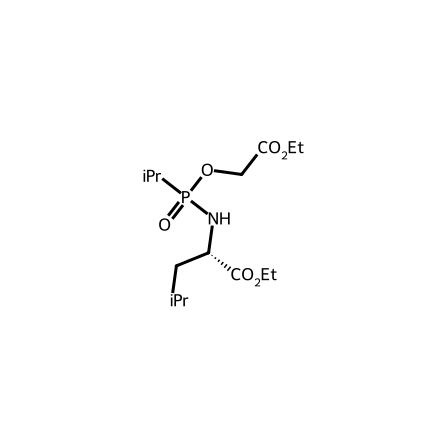 CCOC(=O)COP(=O)(N[C@@H](CC(C)C)C(=O)OCC)C(C)C